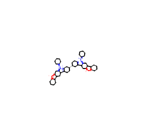 c1ccc(-n2c3cc(-c4ccc5c(c4)c4cc6oc7ccccc7c6cc4n5-c4ccccc4)ccc3c3cc4c(cc32)oc2ccccc24)cc1